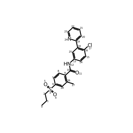 CCCS(=O)(=O)c1ccc(C(=O)Nc2ccc(Cl)c(-c3ccccn3)c2)c(C)c1